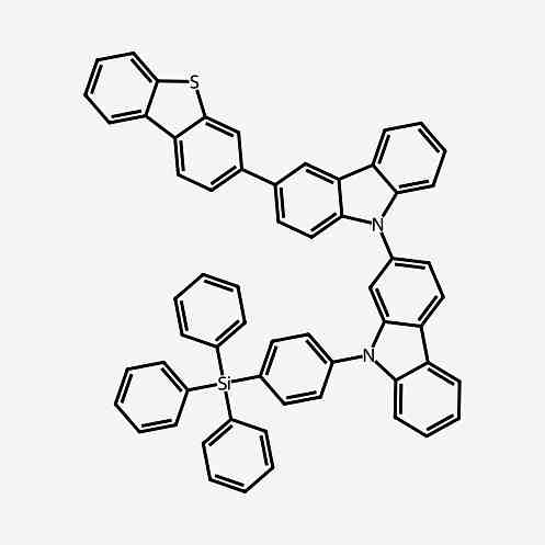 c1ccc([Si](c2ccccc2)(c2ccccc2)c2ccc(-n3c4ccccc4c4ccc(-n5c6ccccc6c6cc(-c7ccc8c(c7)sc7ccccc78)ccc65)cc43)cc2)cc1